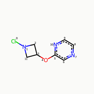 ClN1CC(Oc2cnccn2)C1